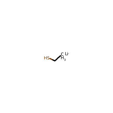 CCS.[Li]